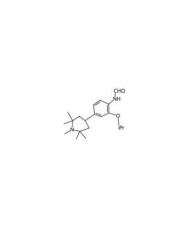 CC(C)Oc1cc(C2CC(C)(C)N(C)C(C)(C)C2)ccc1NC=O